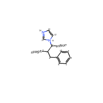 CCCCCCCCCC(C(CCCCCCC)Cc1ccccc1)n1ccnc1